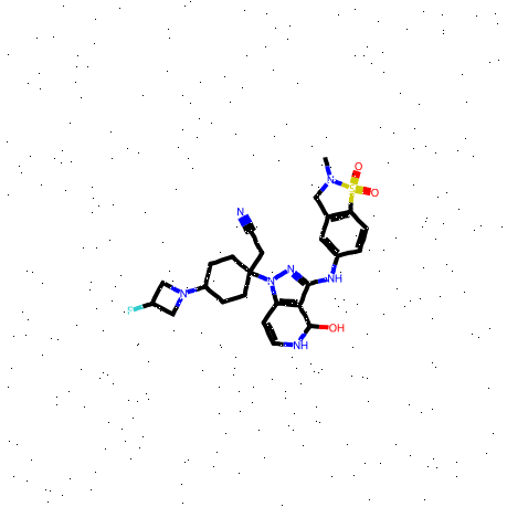 CN1Cc2cc(Nc3nn(C4(CC#N)CCC(N5CC(F)C5)CC4)c4c3C(O)NC=C4)ccc2S1(=O)=O